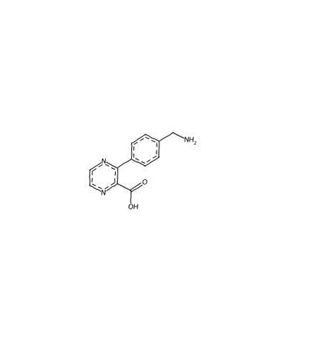 NCc1ccc(-c2nccnc2C(=O)O)cc1